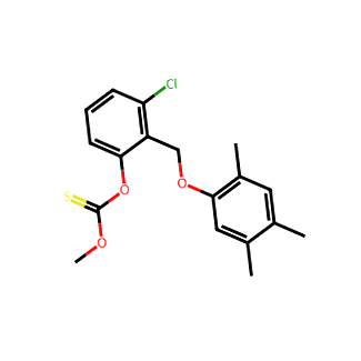 COC(=S)Oc1cccc(Cl)c1COc1cc(C)c(C)cc1C